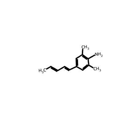 CC=CC=Cc1cc(C)c(N)c(C)c1